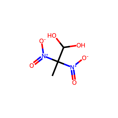 CC(C(O)O)([N+](=O)[O-])[N+](=O)[O-]